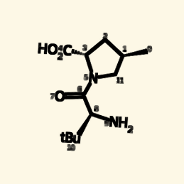 C[C@@H]1C[C@@H](C(=O)O)N(C(=O)[C@@H](N)C(C)(C)C)C1